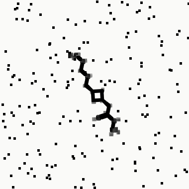 COCOC[C@H]1C[C@@H](CC(=O)OC)C1